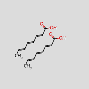 CC=CC=CC=CC(=O)O.CC=CC=CC=CC(=O)O